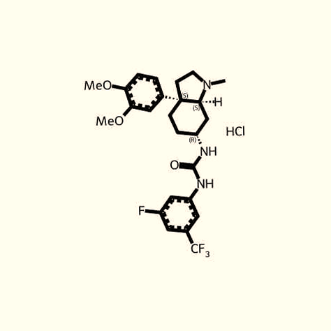 COc1ccc([C@@]23CC[C@@H](NC(=O)Nc4cc(F)cc(C(F)(F)F)c4)C[C@@H]2N(C)CC3)cc1OC.Cl